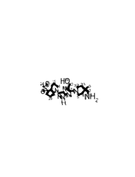 CC1(CN)CCN(c2nc3[nH]nc(N4CCCc5c4cccc5S(C)(=O)=O)c3nc2CO)CC1